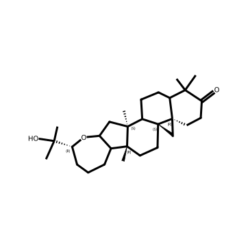 CC1(C)C(=O)CC[C@]23C[C@]24CC[C@]2(C)C5CCC[C@H](C(C)(C)O)OC5C[C@@]2(C)C4CCC13